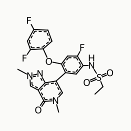 CCS(=O)(=O)Nc1cc(-c2cn(C)c(=O)c3cn(C)nc23)c(Oc2ccc(F)cc2F)cc1F